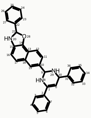 C1=C(c2ccccc2)NC(c2ccc3c4c(ccc3c2)NC(c2ccccc2)O4)NC1c1ccccc1